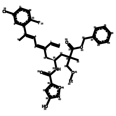 C=C/C(=C\C=C(/C)c1cc(Cl)ccc1F)C[C@H](CC(C)(COCC)C(=O)OCc1ccccc1)NC(=O)c1cc(O)no1